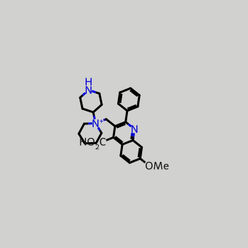 COc1ccc2c(C(=O)O)c(C[N+]3(C4CCNCC4)CCCCC3)c(-c3ccccc3)nc2c1